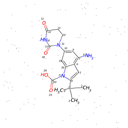 CC(C)(C)c1cc2c(N)cc(N3CCC(=O)NC3=O)cc2n1C(=O)O